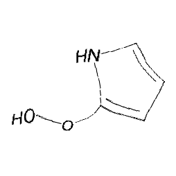 OOc1ccc[nH]1